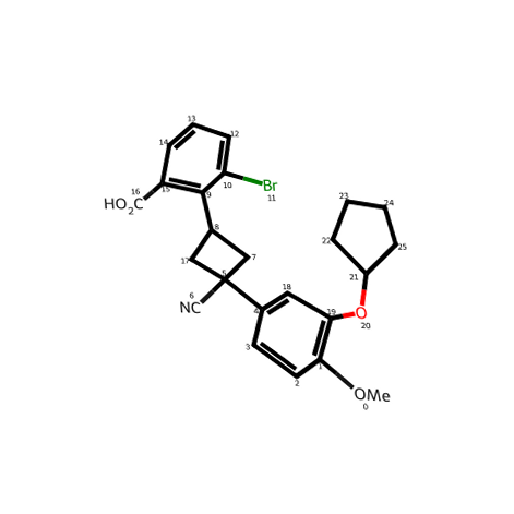 COc1ccc(C2(C#N)CC(c3c(Br)cccc3C(=O)O)C2)cc1OC1CCCC1